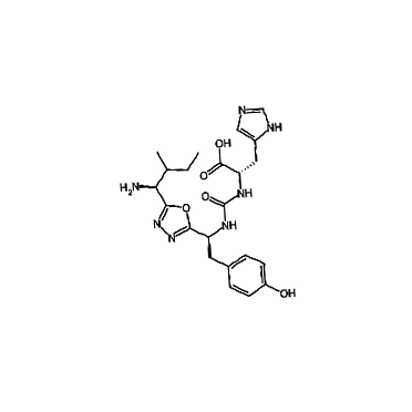 CCC(C)[C@H](N)c1nnc([C@H](Cc2ccc(O)cc2)NC(=O)N[C@@H](Cc2cnc[nH]2)C(=O)O)o1